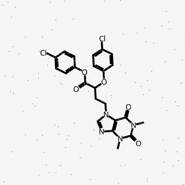 Cn1c(=O)c2c(ncn2CCC(Oc2ccc(Cl)cc2)C(=O)Oc2ccc(Cl)cc2)n(C)c1=O